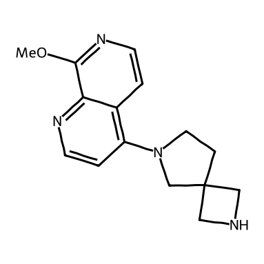 COc1nccc2c(N3CCC4(CNC4)C3)ccnc12